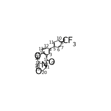 O=C1c2cc(-c3ccc(C(F)(F)F)cc3)ccc2OCC2COCCN12